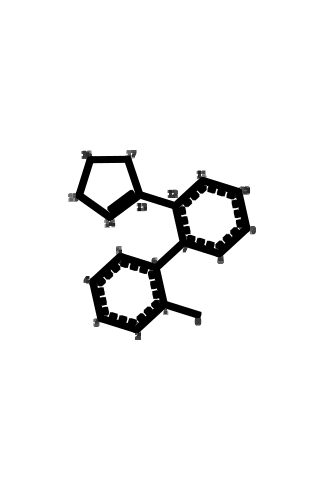 Cc1ccccc1-c1ccccc1C1=CCCC1